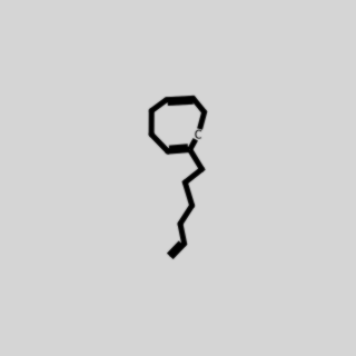 C=CCCCCC1=CCCC=CCC1